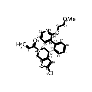 C=CC(=O)N1Cc2sc(Cl)cc2[C@@H](c2ccccc2-c2cccnc2OCCOC)C1